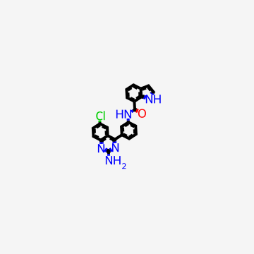 Nc1nc(-c2cccc(NC(=O)c3cccc4cc[nH]c34)c2)c2cc(Cl)ccc2n1